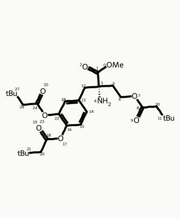 COC(=O)[C@@](N)(CCOC(=O)CC(C)(C)C)Cc1ccc(OC(=O)CC(C)(C)C)c(OC(=O)CC(C)(C)C)c1